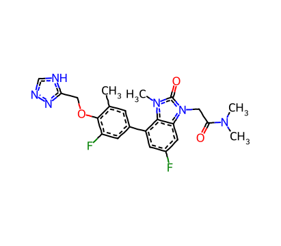 Cc1cc(-c2cc(F)cc3c2n(C)c(=O)n3CC(=O)N(C)C)cc(F)c1OCc1nnc[nH]1